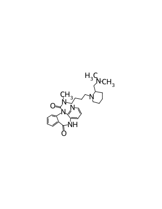 CN(C)CC1CCCCN1CCCCN(C)C(=O)N1c2ccccc2C(=O)Nc2cccnc21